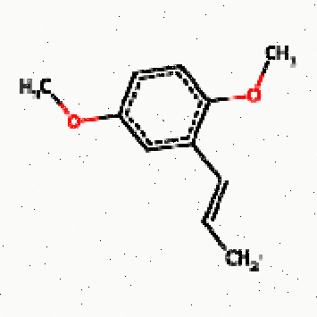 [CH2]/C=C/c1cc(OC)ccc1OC